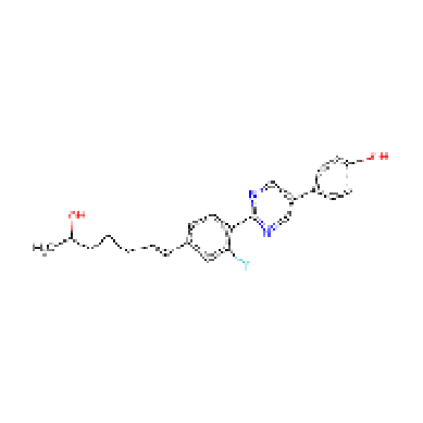 CC(O)CCC/C=C/c1ccc(-c2ncc(-c3ccc(O)cc3)cn2)c(F)c1